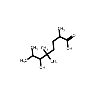 CC(CCC(C)(C)C(O)C(C)C)C(=O)O